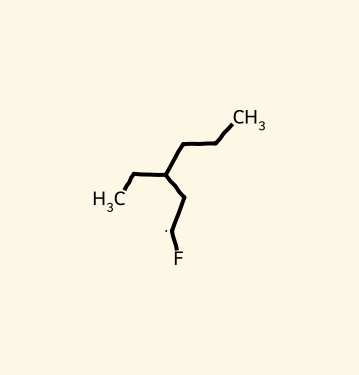 CCCC(CC)C[CH]F